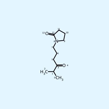 CC(C)C(=O)CCCN1CCCC1=O